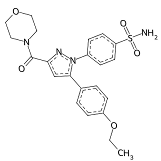 CCOc1ccc(-c2cc(C(=O)N3CCOCC3)nn2-c2ccc(S(N)(=O)=O)cc2)cc1